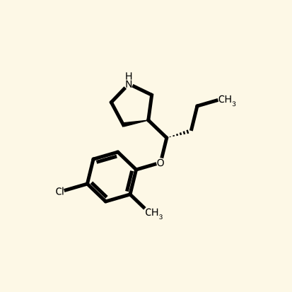 CCC[C@H](Oc1ccc(Cl)cc1C)[C@H]1CCNC1